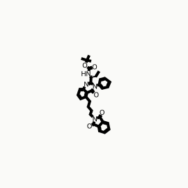 CC[C@H](NC(=O)OC(C)(C)C)c1nc2cccc(CCCCN3C(=O)c4ccccc4C3=O)c2c(=O)n1-c1ccccc1